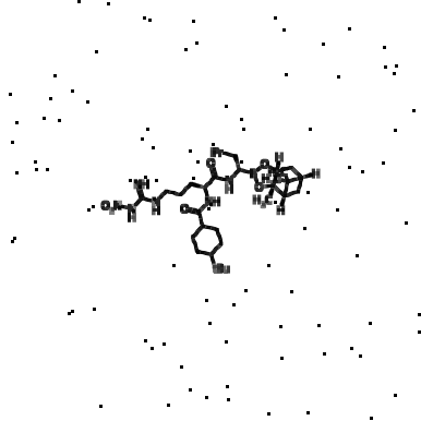 CC(C)C[C@H](NC(=O)[C@H](CCCNC(=N)N[N+](=O)[O-])NC(=O)C1CCC(C(C)(C)C)CC1)B1O[C@@H]2C[C@@H]3C[C@@H](C3(C)C)[C@]2(C)O1